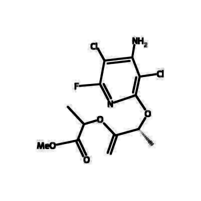 C=C(OC(C)C(=O)OC)[C@@H](C)Oc1nc(F)c(Cl)c(N)c1Cl